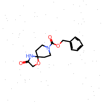 O=C1COC2(CCN(C(=O)OCc3ccccc3)CC2)N1